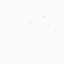 O=C(C1CCC1)N1CCC(CN2C[C@@H](O)[C@H](O)[C@@H](O)C2)CC1